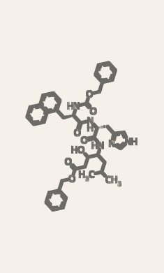 CC(C)CC(NC(=O)[C@@H](Cc1c[nH]cn1)NC(=O)[C@@H](Cc1cccc2ccccc12)NC(=O)OCc1ccccc1)C(O)CC(=O)OCc1ccccc1